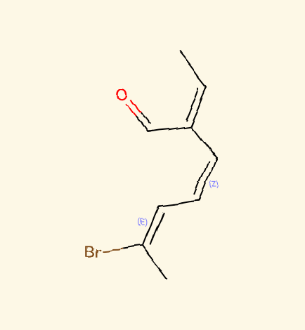 CC=C(C=O)/C=C\C=C(/C)Br